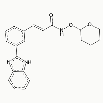 O=C(C=Cc1cccc(-c2nc3ccccc3[nH]2)c1)NOC1CCCCO1